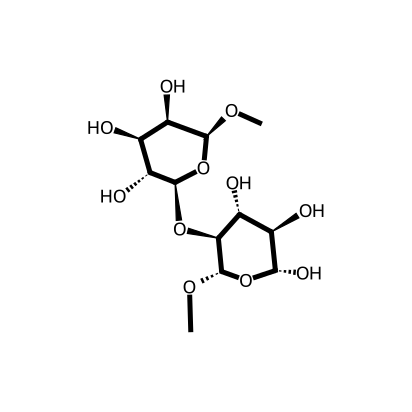 CO[C@H]1O[C@@H](O[C@@H]2[C@@H](OC)O[C@@H](O)[C@H](O)[C@H]2O)[C@H](O)[C@@H](O)[C@H]1O